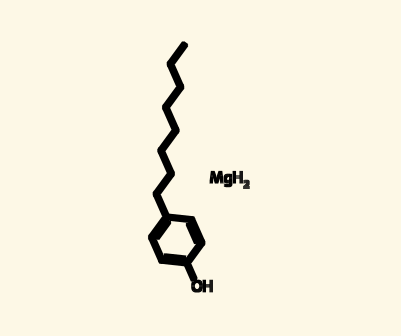 CCCCCCCCc1ccc(O)cc1.[MgH2]